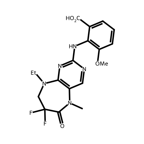 CCN1CC(F)(F)C(=O)N(C)c2cnc(Nc3c(OC)cccc3C(=O)O)nc21